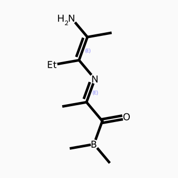 CCC(/N=C(\C)C(=O)B(C)C)=C(/C)N